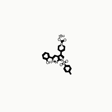 Cc1ccc(S(=O)(=O)n2cc(C3=CCN(C(=O)OC(C)(C)C)CC3)c3cc(-c4ccccc4O)nnc32)cc1